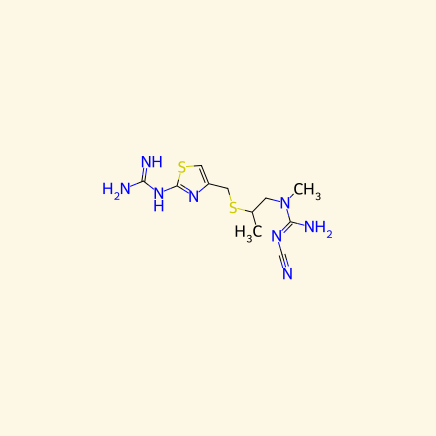 CC(CN(C)C(N)=NC#N)SCc1csc(NC(=N)N)n1